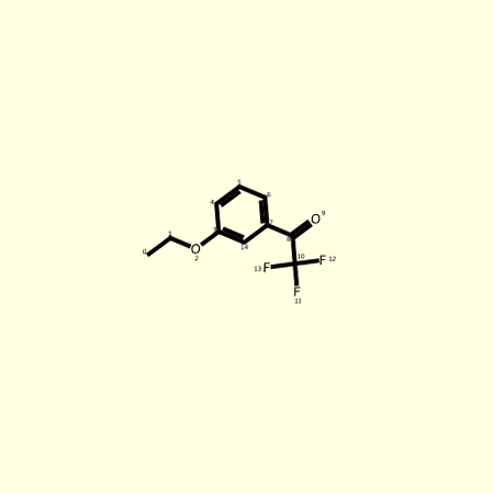 CCOc1cccc(C(=O)C(F)(F)F)c1